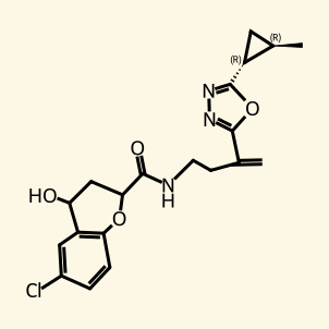 C=C(CCNC(=O)C1CC(O)c2cc(Cl)ccc2O1)c1nnc([C@@H]2C[C@H]2C)o1